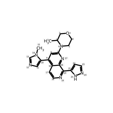 CC1COCCN1c1cc(-c2cncn2C)c2ccnc(-c3ccn[nH]3)c2n1